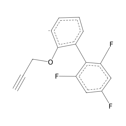 C#CCOc1[c]cccc1-c1c(F)cc(F)cc1F